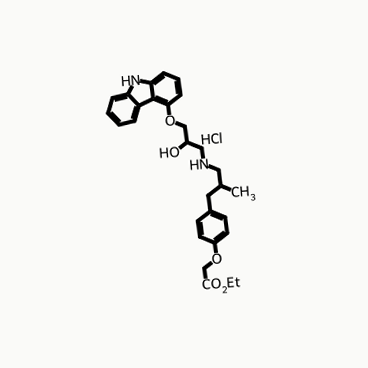 CCOC(=O)COc1ccc(CC(C)CNCC(O)COc2cccc3[nH]c4ccccc4c23)cc1.Cl